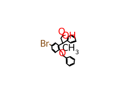 CC(CC(=O)O)(c1ccccc1)c1cc(Br)ccc1OCc1ccccc1